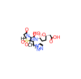 C[C@]1(CCn2ccnn2)[C@H](C(=O)N[C@H]2CC[C@@H](CC(=O)O)OB2O)N2C(=O)C[C@H]2S1(=O)=O